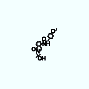 CCOc1ccc(CC(=O)Nc2cccc3c(=O)n(CC(C)(C)O)ccc23)cc1